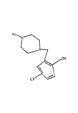 CC(=O)N1CCN(Cc2cc(Cl)ccc2O)CC1